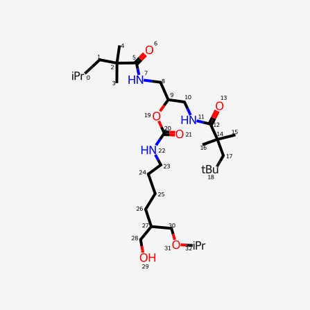 CC(C)CC(C)(C)C(=O)NCC(CNC(=O)C(C)(C)CC(C)(C)C)OC(=O)NCCCCC(CO)COC(C)C